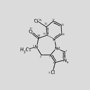 CN1Cc2c(Cl)ncn2-c2cccc(Cl)c2C1=O